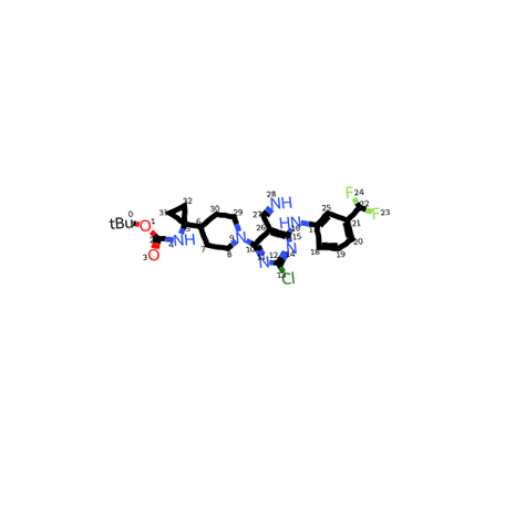 CC(C)(C)OC(=O)NC1(C2CCN(c3nc(Cl)nc(Nc4cccc(C(F)F)c4)c3C=N)CC2)CC1